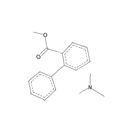 CN(C)C.COC(=O)c1ccccc1-c1ccccc1